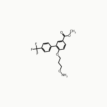 COC(=O)c1ccc(OCCCON)c(-c2ccc(C(F)(F)F)cc2)c1